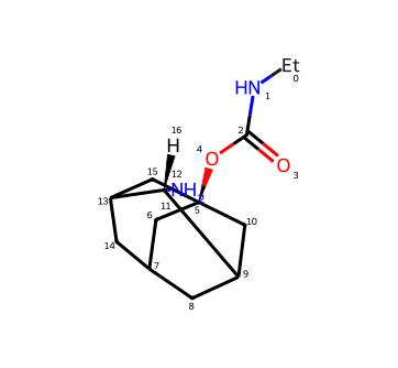 CCNC(=O)O[C@]12CC3CC(C1)[C@@H](N)C(C3)C2